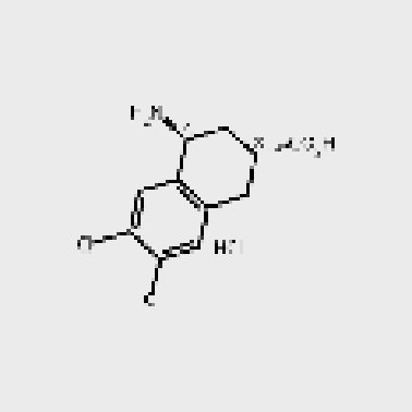 Cl.N[C@H]1C[C@H](C(=O)O)Cc2cc(Cl)c(Cl)cc21